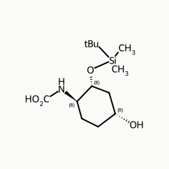 CC(C)(C)[Si](C)(C)O[C@@H]1C[C@H](O)CC[C@H]1NC(=O)O